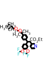 CCOC(=O)C(c1cccnc1)C(c1ccc(C(C)(C)OCOCC[Si](C)(C)C)cc1)c1ccc(OC(F)F)c(OC(F)F)c1